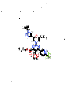 CCOC(=O)c1nc(N2C[C@@H](C)O[C@@H](c3cnn(C4CC4)c3)C2)nc(-c2ccc(C(F)(F)F)nc2)c1C1OCCO1